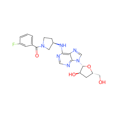 O=C(c1cccc(F)c1)N1CC[C@@H](Nc2ncnc3c2ncn3[C@@H]2O[C@H](CO)C[C@H]2O)C1